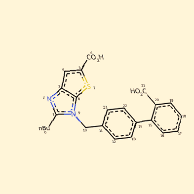 CCCCc1nc2cc(C(=O)O)sc2n1Cc1ccc(-c2ccccc2C(=O)O)cc1